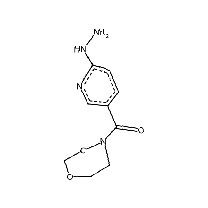 NNc1ccc(C(=O)N2CCOCC2)cn1